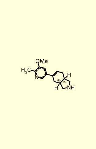 COc1cc(C2=CC[C@@H]3CNC[C@@H]3C2)cnc1C